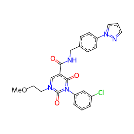 COCCn1cc(C(=O)NCc2ccc(-n3cccn3)cc2)c(=O)n(-c2cccc(Cl)c2)c1=O